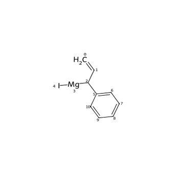 C=C[CH]([Mg][I])c1ccccc1